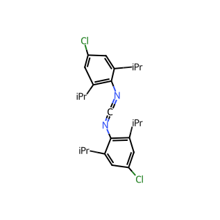 CC(C)c1cc(Cl)cc(C(C)C)c1N=C=Nc1c(C(C)C)cc(Cl)cc1C(C)C